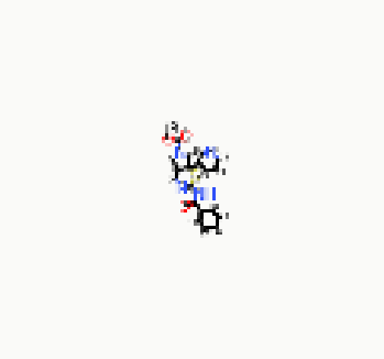 CC(C)(C)OC(=O)N1CC2CN=C(NC(=O)c3ccccc3)SC2(c2cccnc2)C1